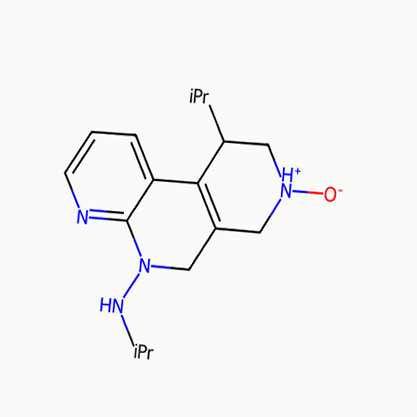 CC(C)NN1CC2=C(c3cccnc31)C(C(C)C)C[NH+]([O-])C2